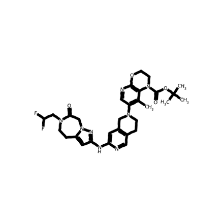 Cc1c(N2CCc3cnc(Nc4cc5n(n4)CC(=O)N(CC(F)F)CC5)cc3C2)cnc2c1N(C(=O)OC(C)(C)C)CCO2